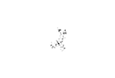 Cc1ccc2nc([C@H](Cc3ccc(C4CC(=O)NS4(O)O)cc3)NS(=O)(=O)C3=CC=CC(C)(Cl)C3)[nH]c2c1